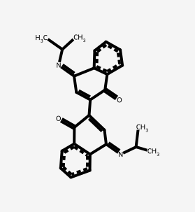 CC(C)/N=C1/C=C(C2=C/C(=N\C(C)C)c3ccccc3C2=O)C(=O)c2ccccc21